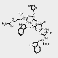 CC(C)[C@H](NC(=O)[C@H](Cc1c[nH]c2ccccc12)NC(=O)[C@H](Cc1c[nH]cn1)NC(=O)[C@@H](N)CCCNC(=N)N)C(=O)N[C@H](C(=O)N[C@@H](Cc1c[nH]c2ccccc12)C(=O)O)C(C)C